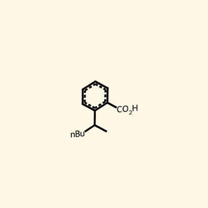 CCCCC(C)c1ccccc1C(=O)O